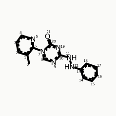 Cc1cccnc1-n1cnc(NNc2ccccc2)nc1=O